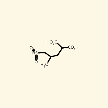 CC(CC(C(=O)O)C(=O)O)C[SH](=O)=O